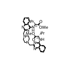 COC(=O)[C@@H](Nc1nc(CN2CCN(Cc3nc(N[C@H](C(=O)OC)C(C)C)c4ccccc4n3)CC2)nc2ccccc12)C(C)C